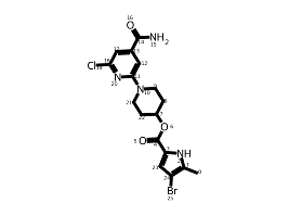 Cc1[nH]c(C(=O)OC2CCN(c3cc(C(N)=O)cc(Cl)n3)CC2)cc1Br